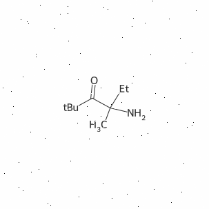 CCC(C)(N)C(=O)C(C)(C)C